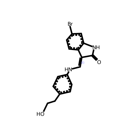 O=C1Nc2cc(Br)ccc2/C1=C\Nc1ccc(CCO)cc1